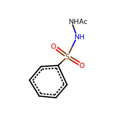 CC(=O)NNS(=O)(=O)c1ccccc1